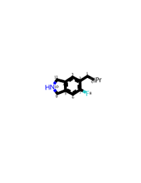 CC(C)Cc1cc2c(cc1F)CNC2